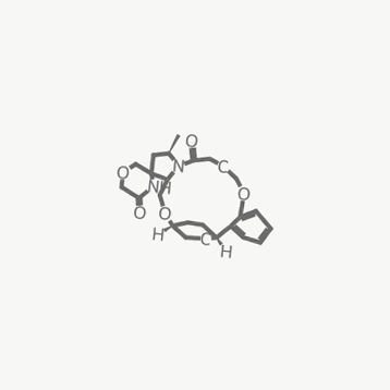 C[C@@H]1CC2(COCC(=O)N2)C2CO[C@H]3CC[C@H](CC3)c3ccccc3OCCCC(=O)N21